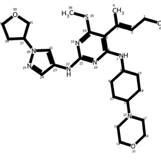 CC/C=C(\C)c1c(NC2CCC(N3CCOCC3)CC2)nc(Nc2cnn(C3CCOC3)c2)nc1SC